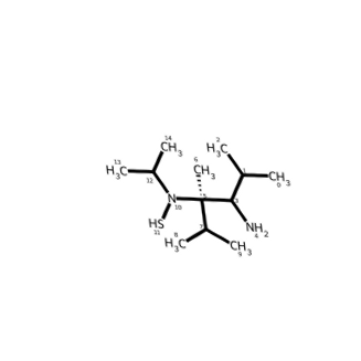 CC(C)C(N)[C@@](C)(C(C)C)N(S)C(C)C